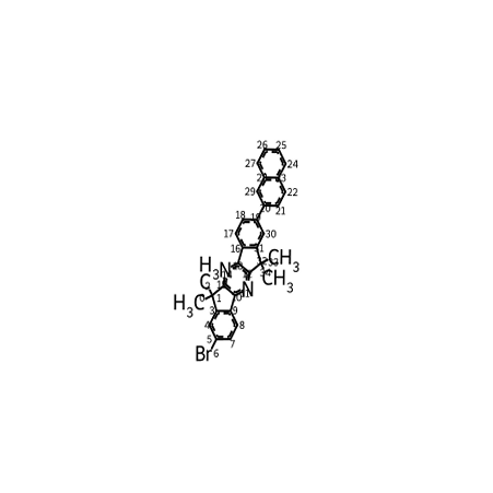 CC1(C)c2cc(Br)ccc2-c2nc3c(nc21)-c1ccc(-c2ccc4ccccc4c2)cc1C3(C)C